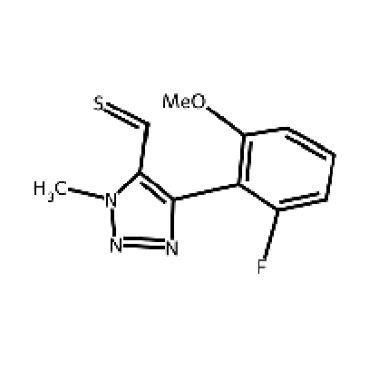 COc1cccc(F)c1-c1nnn(C)c1C=S